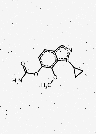 COc1c(OC(N)=O)ccc2cnn(C3CC3)c12